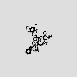 CC(C)CC(NC(=O)c1cc2ccccc2[nH]1)C(=O)NC(C[C@@H]1CCNC1=O)C(=O)COc1c(F)c(F)cc(F)c1F